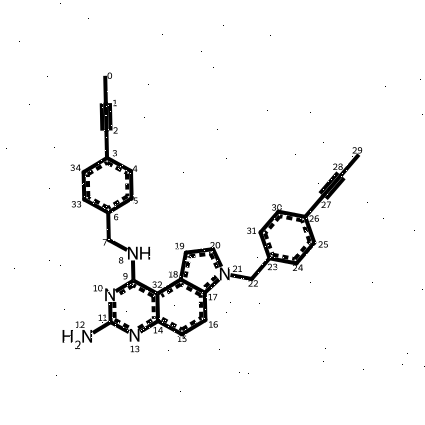 CC#Cc1ccc(CNc2nc(N)nc3ccc4c(ccn4Cc4ccc(C#CC)cc4)c23)cc1